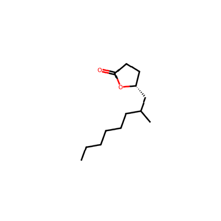 CCCCCCC(C)C[C@H]1CCC(=O)O1